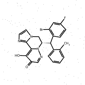 Cc1ccccc1C(c1ccc(F)cc1Br)[C@H]1Cn2ccnc2-c2c(O)c(=O)cnn21